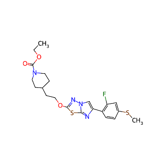 CCOC(=O)N1CCC(CCOc2nn3cc(-c4ccc(SC)cc4F)nc3s2)CC1